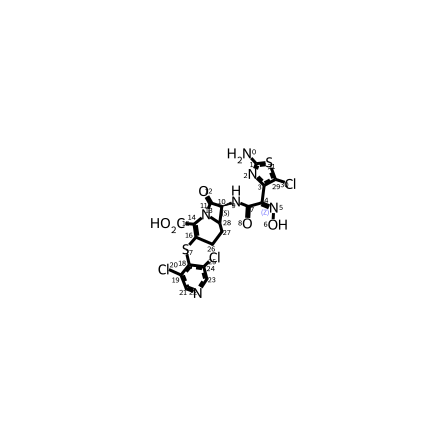 Nc1nc(/C(=N/O)C(=O)N[C@@H]2C(=O)N3C(C(=O)O)=C(Sc4c(Cl)cncc4Cl)CCC23)c(Cl)s1